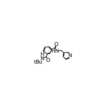 CC(C)(C)NC(=O)c1cccc(C(=O)NCc2cccnc2)c1